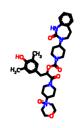 Cc1cc(CC(OC(=O)N2CCC(N3CCc4ccccc4NC3=O)CC2)C(=O)N2CCC([N+]3([O-])CCOCC3)CC2)cc(C)c1O